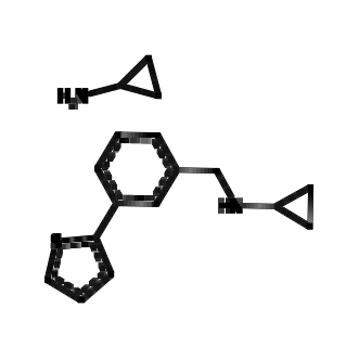 NC1CC1.c1cc(CNC2CC2)cc(-c2cccs2)c1